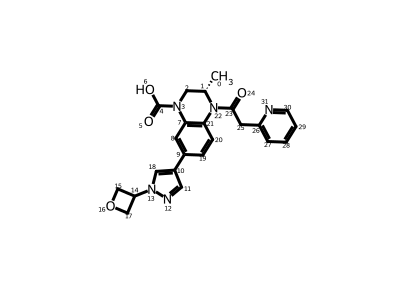 C[C@H]1CN(C(=O)O)c2cc(-c3cnn(C4COC4)c3)ccc2N1C(=O)Cc1ccccn1